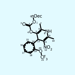 CCCCCCCCCCOC(=O)OC1=C(C)NC(C)=C([N+](=O)[O-])C1c1ccccc1OC(F)(F)F